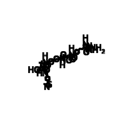 Cc1ncsc1-c1ccc(CNC(=O)C2C[C@@H](O)CN2C(=O)C(NC(=O)COCCOCCNC(=O)CC[C@@H](NC(=O)c2ccc(CCc3c[nH]c4nc(N)[nH]c(=O)c34)cc2)C(=O)O)C(C)(C)C)cc1